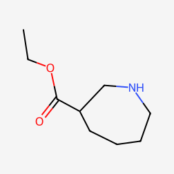 CCOC(=O)C1CCCCNC1